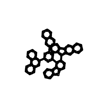 c1ccc2cc(-c3nc(-c4cc5ccccc5c5ccccc45)nc(-c4c(-n5c6ccccc6c6cc7ccccc7cc65)ccc5oc6ccccc6c45)n3)ccc2c1